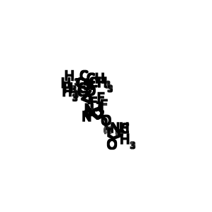 C[C@H]1CC(=O)C[C@@H](COc2cc(C(F)(F)F)c3c(c2)ncn3C2CC(C)(O[Si](C)(C)C(C)(C)C)C2)N1